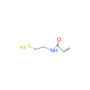 C=CC(=O)NCCSS